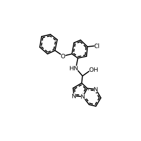 OC(Nc1cc(Cl)ccc1Oc1ccccc1)c1cnn2cccnc12